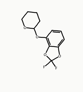 FC1(F)Oc2cccc(OC3CCCCO3)c2O1